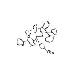 CC(C)(C)c1ccc(N(c2ccc(-c3ccccc3)cc2)c2cc3c(c4oc5ccccc5c24)-c2ccccc2C3(c2ccccc2)c2ccccc2)cc1